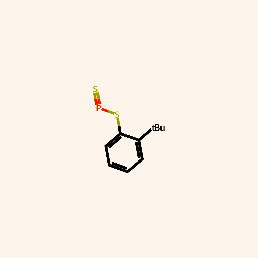 CC(C)(C)c1ccccc1SP=S